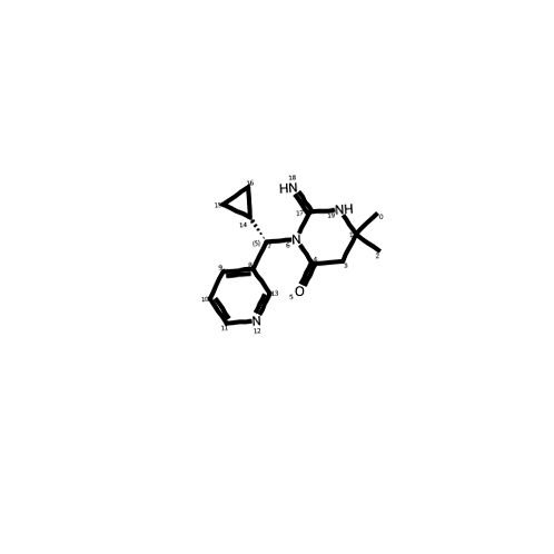 CC1(C)CC(=O)N([C@H](c2cccnc2)C2CC2)C(=N)N1